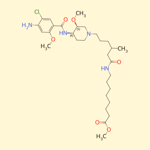 COC(=O)CCCCCCCNC(=O)CC(C)CCCN1CC[C@@H](NC(=O)c2cc(Cl)c(N)cc2OC)[C@@H](OC)C1